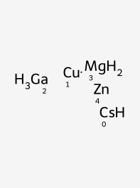 [CsH].[Cu].[GaH3].[MgH2].[Zn]